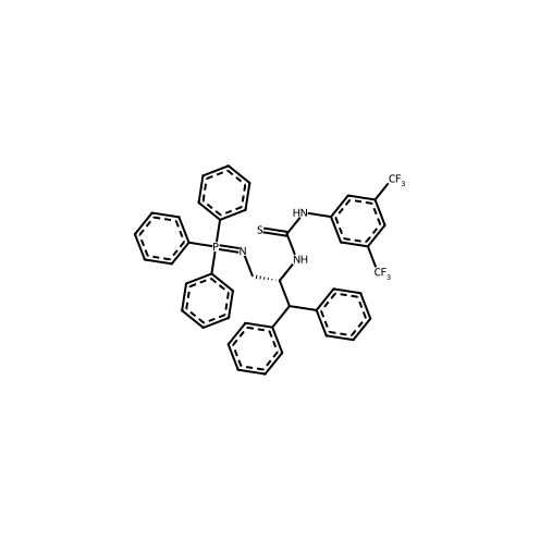 FC(F)(F)c1cc(NC(=S)N[C@@H](CN=P(c2ccccc2)(c2ccccc2)c2ccccc2)C(c2ccccc2)c2ccccc2)cc(C(F)(F)F)c1